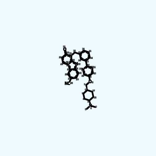 CN(C)[C@H]1CC[C@@H](COc2cnc(-c3cccc(Cn4c(=O)ccn5c6cc(C#N)ccc6nc45)c3)nc2)CC1